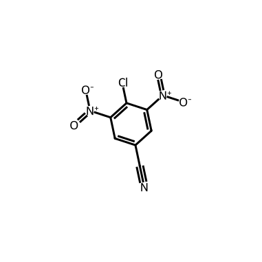 N#Cc1cc([N+](=O)[O-])c(Cl)c([N+](=O)[O-])c1